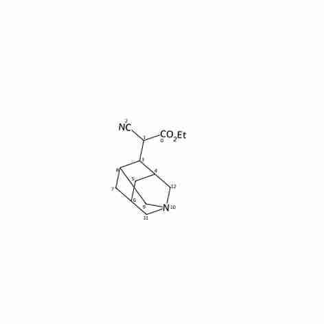 CCOC(=O)C(C#N)C1C2CC3CC1CN(C3)C2